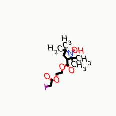 CC1(C)CC(C(=O)OCCOC(=O)CI)C(C)(C)N1O